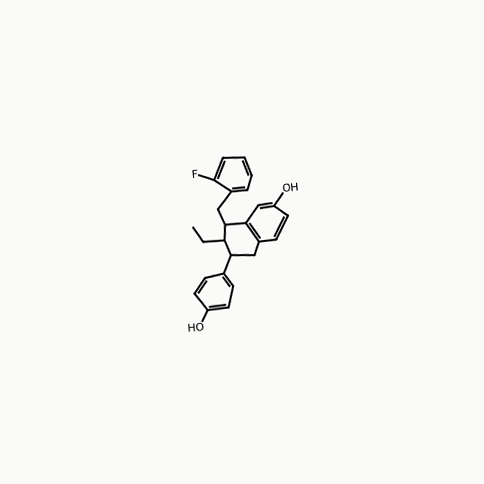 CCC1C(c2ccc(O)cc2)Cc2ccc(O)cc2C1Cc1ccccc1F